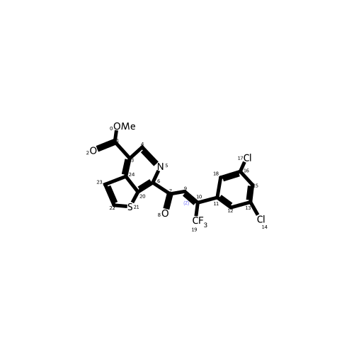 COC(=O)c1cnc(C(=O)/C=C(/c2cc(Cl)cc(Cl)c2)C(F)(F)F)c2sccc12